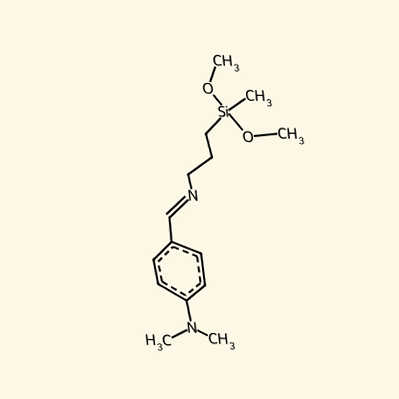 CO[Si](C)(CCCN=Cc1ccc(N(C)C)cc1)OC